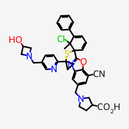 CC1(Cl)C(c2ccccc2)=CC=CC1(SC1(c2ccc(CN3CC(O)C3)cn2)CC1)c1nc2cc(CN3CCC(C(=O)O)C3)cc(C#N)c2o1